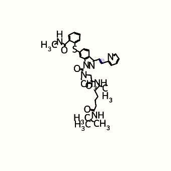 CCN(CC(=O)NC(C)CCCCC(=O)NC(C)(C)C)C(=O)n1nc(/C=C/c2ccccn2)c2ccc(Sc3ccccc3C(=O)NC)cc21